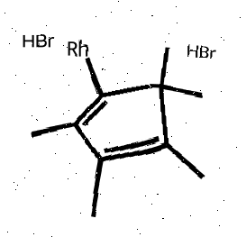 Br.Br.CC1=C(C)C(C)(C)[C]([Rh])=C1C